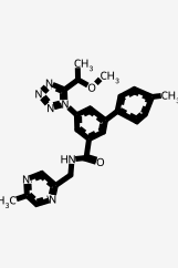 COC(C)c1nnnn1-c1cc(C(=O)NCc2cnc(C)cn2)cc(-c2ccc(C)cc2)c1